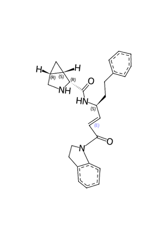 O=C(N[C@H](/C=C/C(=O)N1CCc2ccccc21)CCc1ccccc1)[C@@H]1NC[C@@H]2C[C@@H]21